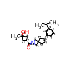 CC(C)c1cccc([C@H]2CCC3(C2)CN(C(=O)[C@H]2C[C@@](C)(O)C2)C3)c1